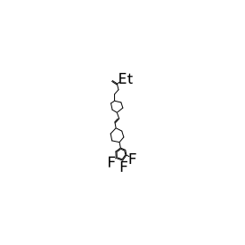 C=C(CC)CCC1CCC(/C=C/C2CCC(c3cc(F)c(F)c(F)c3)CC2)CC1